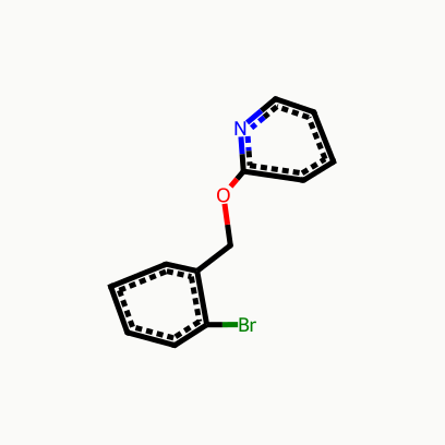 Brc1ccccc1COc1ccccn1